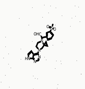 CS(=O)(=O)c1cccc(C(C=O)N2CCN(c3ncnc4[nH]ccc34)CC23CC3)c1